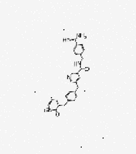 N=C(N)c1ccc(CNC(=O)c2cncc(Cc3ccc(Cc4ccc[nH]c4=O)cc3)c2)cc1